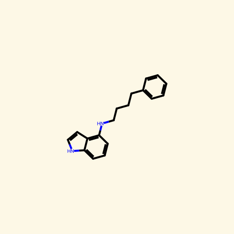 c1ccc(CCCCNc2cccc3[nH]ccc23)cc1